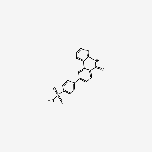 NS(=O)(=O)c1ccc(-c2ccc3c(=O)[nH]c4ncccc4c3c2)cc1